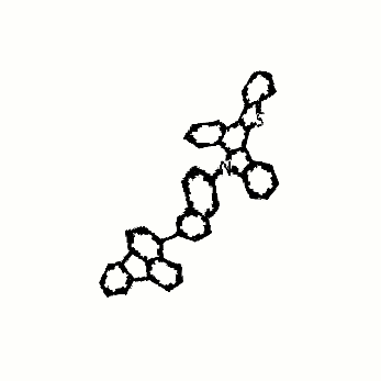 c1ccc2c(c1)-c1cccc3c(-c4ccc5cc(-n6c7ccccc7c7c8sc9ccccc9c8c8ccccc8c76)ccc5c4)ccc-2c13